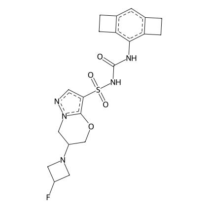 O=C(Nc1c2c(cc3c1CC3)CC2)NS(=O)(=O)c1cnn2c1OCC(N1CC(F)C1)C2